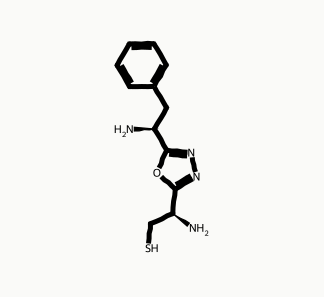 N[C@@H](CS)c1nnc([C@@H](N)Cc2ccccc2)o1